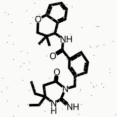 CCC1(CC)CC(=O)N(Cc2cccc(C(=O)NC3c4ccccc4OCC3(C)C)c2)C(=N)N1